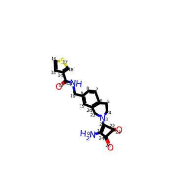 Nc1c(N2CCc3ccc(CNC(=O)c4ccsc4)cc3C2)c(=O)c1=O